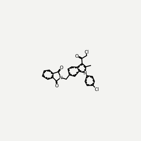 Cc1c(C(=O)CCl)c2ccc(CN3C(=O)c4ccccc4C3=O)cc2n1-c1ccc(Cl)cc1